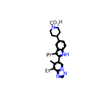 CCc1c(C)c(-c2[nH]c3ccc(C4CCN(C(=O)O)CC4)cc3c2C(C)C)cn2ncnc12